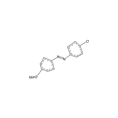 COc1ccc(N=Nc2ccc(Cl)cc2)cc1